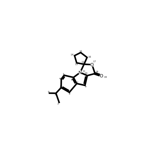 CC(C)c1ccc2c(c1)cc1n2C2(CCCC2)OC1=O